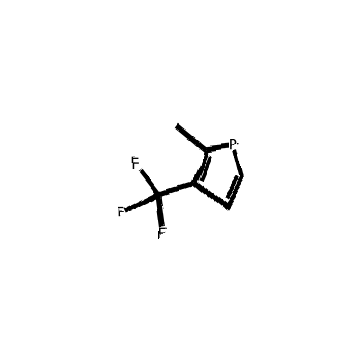 CC1=C(C(F)(F)F)C=C[P]1